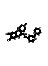 CN1CCC2(CC1)Nc1cc(Cl)c(Cl)cc1N=C2NCc1ccnc(N2CCOCC2)c1